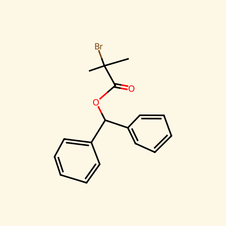 CC(C)(Br)C(=O)OC(c1ccccc1)c1ccccc1